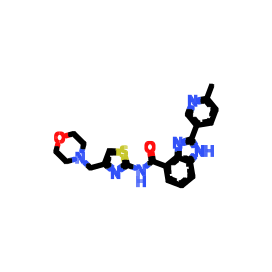 Cc1ccc(-c2nc3c(C(=O)Nc4nc(CN5CCOCC5)cs4)cccc3[nH]2)cn1